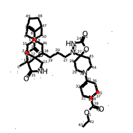 CCOC(=O)N1CC2=C(N3CCC4(CNC(=O)C4)C(CCCN4NC(=O)OC45CCN(C4=CC6CCC4CN6C(=O)OCC)CC5)C3)C(CC2)C1